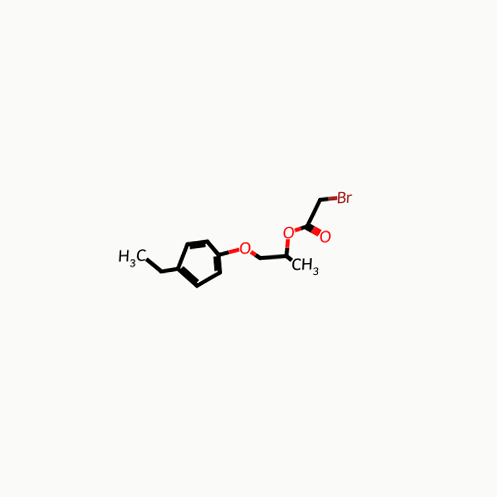 CCc1ccc(OCC(C)OC(=O)CBr)cc1